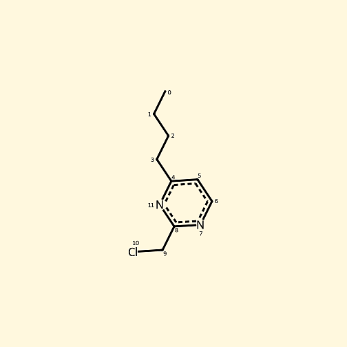 CCCCc1ccnc(CCl)n1